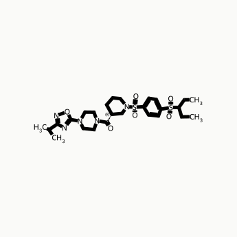 CCC(CC)S(=O)(=O)c1ccc(S(=O)(=O)N2CCC[C@@H](C(=O)N3CCN(c4nc(C(C)C)no4)CC3)C2)cc1